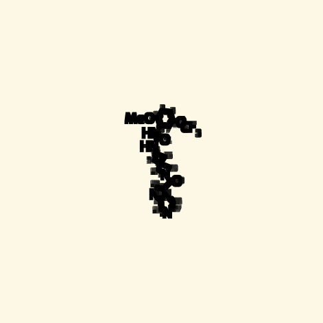 COc1ccc(OC(F)(F)F)cc1NC(=O)NC1CC2(C1)CN(C(=O)c1cnc3cnccn13)C2